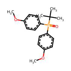 COc1ccc(P(=O)(c2ccc(OC)cc2)C(C)(C)C)cc1